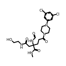 CNC(=O)C(CCC(=O)N1CCN(c2cc(Cl)cc(Cl)c2)CC1)(CC(=O)NCCO)NC=O